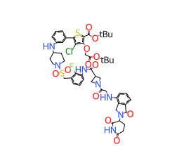 CC(C)(C)OC(=O)COc1c(C(=O)OC(C)(C)C)sc(-c2cccc(NC3CCN(S(=O)(=O)Cc4cccc(NC(=O)C5CN(C(=O)CNc6cccc7c6CN(C6CCC(=O)NC6=O)C7=O)C5)c4F)CC3)c2)c1Cl